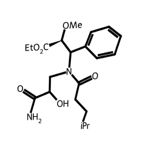 CCOC(=O)[C@@H](OC)C(c1ccccc1)N(CC(O)C(N)=O)C(=O)CCC(C)C